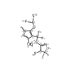 Cn1nc(C(F)(F)F)c(C(F)(F)[S+]([O-])C2=NOC(C)(C)C2F)c1OC(F)F